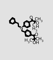 CC(C)(O)C(=O)c1ccc(CN(CCc2ccccc2)c2ccc(C(=O)C(C)(C)O)cc2)cc1